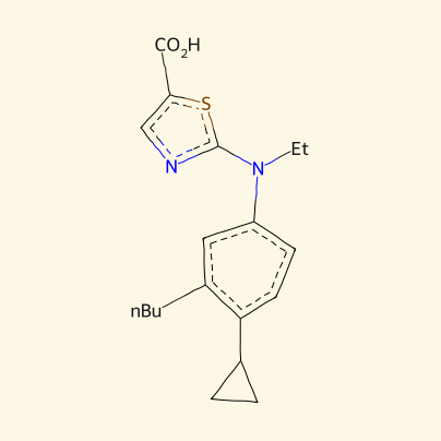 CCCCc1cc(N(CC)c2ncc(C(=O)O)s2)ccc1C1CC1